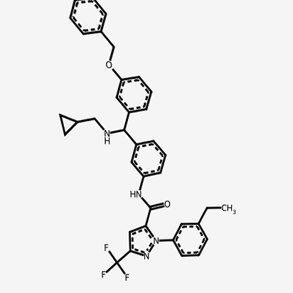 CCc1cccc(-n2nc(C(F)(F)F)cc2C(=O)Nc2cccc(C(NCC3CC3)c3cccc(OCc4ccccc4)c3)c2)c1